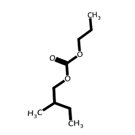 CCCOC(=O)OCC(C)CC